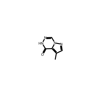 Cc1cnn2cn[nH]c(=O)c12